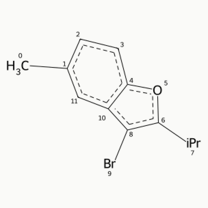 Cc1ccc2oc(C(C)C)c(Br)c2c1